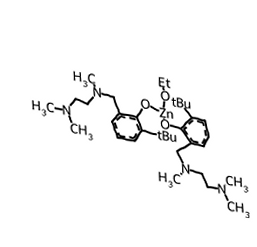 CC[O][Zn]([O]c1c(CN(C)CCN(C)C)cccc1C(C)(C)C)[O]c1c(CN(C)CCN(C)C)cccc1C(C)(C)C